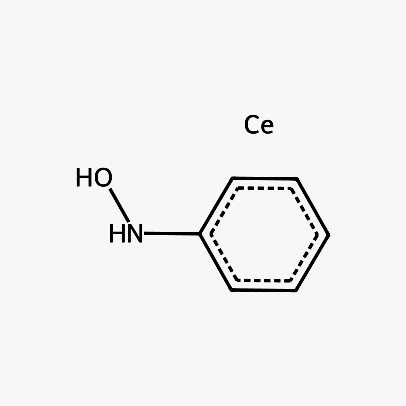 ONc1ccccc1.[Ce]